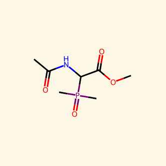 COC(=O)C(NC(C)=O)P(C)(C)=O